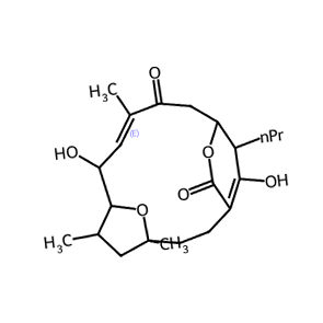 CCCC1C(O)=C2CCC3(C)CC(C)C(O3)C(O)/C=C(\C)C(=O)CC1OC2=O